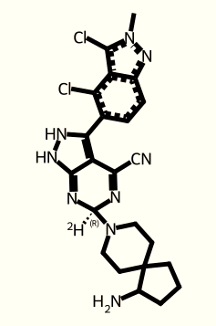 [2H][C@@]1(N2CCC3(CCCC3N)CC2)N=C(C#N)C2=C(c3ccc4nn(C)c(Cl)c4c3Cl)NNC2=N1